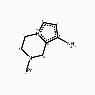 CC(C)N1CCn2ccc(N)c2C1